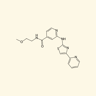 COCCNC(=O)c1ccnc(Nc2nc(-c3ccccn3)cs2)c1